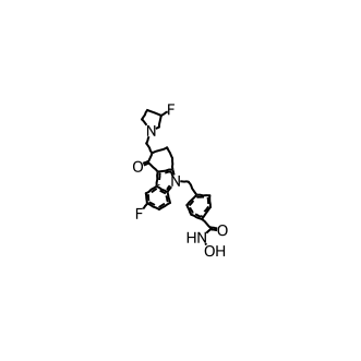 O=C(NO)c1ccc(Cn2c3c(c4cc(F)ccc42)C(=O)C(CN2CCC(F)C2)CC3)cc1